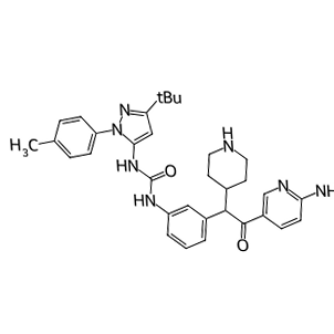 Cc1ccc(-n2nc(C(C)(C)C)cc2NC(=O)Nc2cccc(C(C(=O)c3ccc(N)nc3)C3CCNCC3)c2)cc1